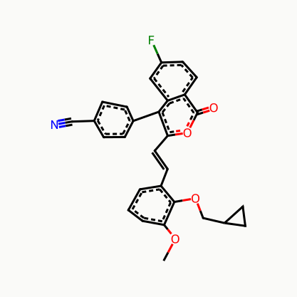 COc1cccc(C=Cc2oc(=O)c3ccc(F)cc3c2-c2ccc(C#N)cc2)c1OCC1CC1